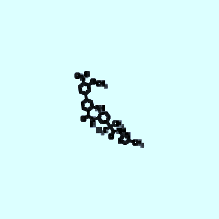 COc1cc(-c2ccc3c(c2)Nc2ccc(C(C)(C)C(=O)Nc4nc(C)cs4)cc2NC3=O)ccc1[N+](=O)[O-]